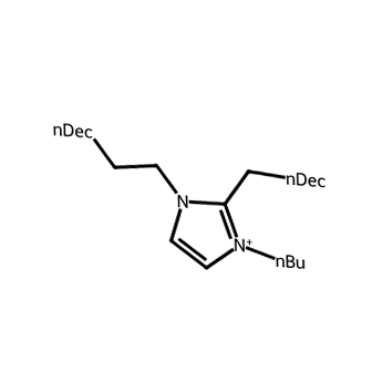 CCCCCCCCCCCCn1cc[n+](CCCC)c1CCCCCCCCCCC